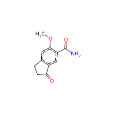 COc1cc2c(cc1C(N)=O)C(=O)CC2